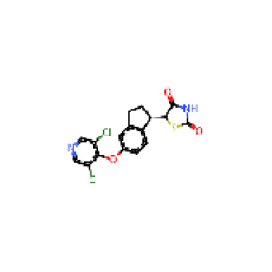 O=C1NC(=O)C([C@@H]2CCc3cc(Oc4c(Cl)cncc4Cl)ccc32)S1